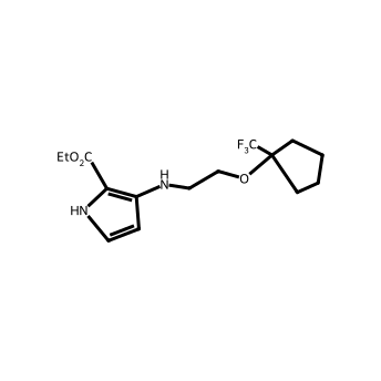 CCOC(=O)c1[nH]ccc1NCCOC1(C(F)(F)F)CCCC1